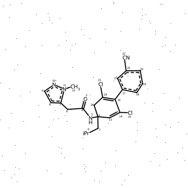 CC(C)CC1(NC(=O)Cc2ccnn2C)C=C(Cl)C(c2cccc(C#N)c2)=C(Cl)C1